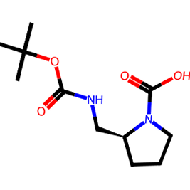 CC(C)(C)OC(=O)NC[C@@H]1CCCN1C(=O)O